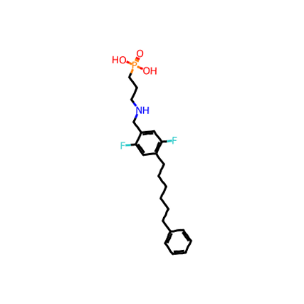 O=P(O)(O)CCCNCc1cc(F)c(CCCCCCc2ccccc2)cc1F